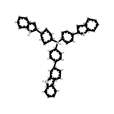 c1ccc2sc(-c3ccc(N(c4ccc(-c5ccc6c(c5)oc5ccccc56)cc4)c4ccc(-c5cc6ccccc6s5)cc4)cc3)cc2c1